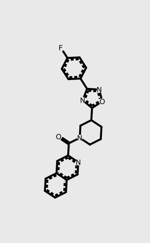 O=C(c1cc2ccccc2cn1)N1CCCC(c2nc(-c3ccc(F)cc3)no2)C1